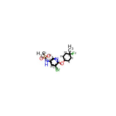 CC1(F)CCC(Oc2ncc(NS(C)(=O)=O)cc2Br)CC1